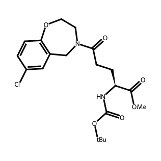 COC(=O)[C@H](CCC(=O)N1CCOc2ccc(Cl)cc2C1)NC(=O)OC(C)(C)C